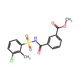 COC(=O)c1cccc(C(=O)NS(=O)(=O)c2cccc(Cl)c2C)c1